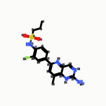 CCCS(=O)(=O)Nc1ccc(-c2cc(C)c3nc(N)ncc3n2)cc1F